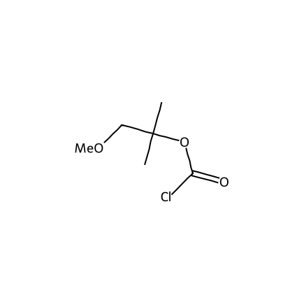 COCC(C)(C)OC(=O)Cl